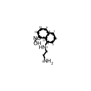 NCCNc1cccc2ccccc12.O=NO